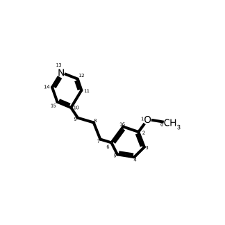 COc1cccc(CCCc2ccncc2)c1